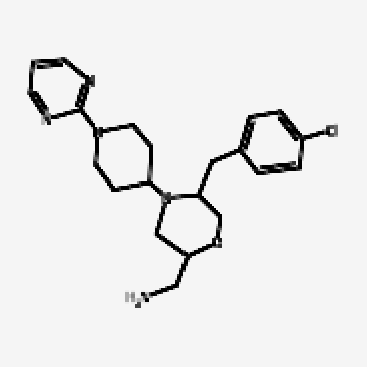 NCC1CN(C2CCN(c3ncccn3)CC2)C(Cc2ccc(Cl)cc2)CO1